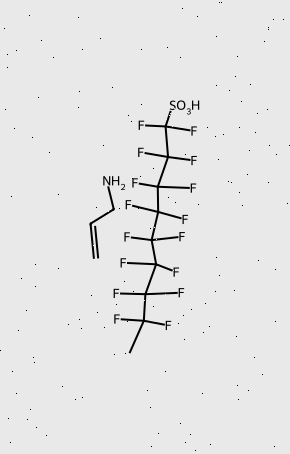 C=CCN.CC(F)(F)C(F)(F)C(F)(F)C(F)(F)C(F)(F)C(F)(F)C(F)(F)C(F)(F)S(=O)(=O)O